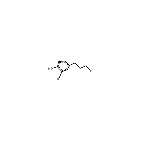 Oc1ccc(CCCCl)cc1Br